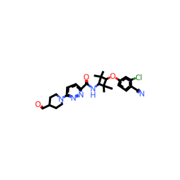 CC1(C)C(NC(=O)c2ccc(N3CCC(C=O)CC3)nn2)C(C)(C)C1Oc1ccc(C#N)c(Cl)c1